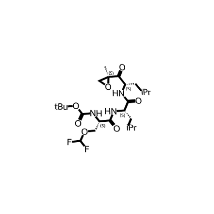 CC(C)C[C@H](NC(=O)[C@H](COC(F)F)NC(=O)OC(C)(C)C)C(=O)N[C@@H](CC(C)C)C(=O)[C@]1(C)CO1